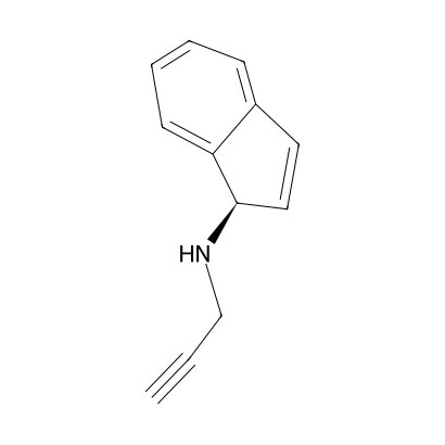 C#CCN[C@@H]1C=Cc2ccccc21